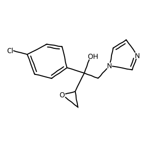 OC(Cn1ccnc1)(c1ccc(Cl)cc1)C1CO1